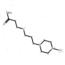 CNC(=O)CCOCCCN1CCN(C)CC1